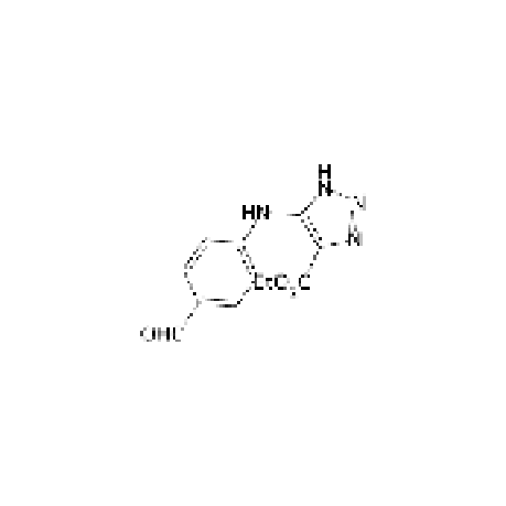 CCOC(=O)c1nn[nH]c1Nc1ccc(C=O)cc1